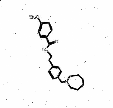 CC(C)COc1ccc(C(=O)NCCc2ccc(CN3CCCCCC3)cc2)cc1